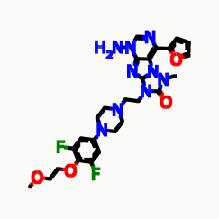 COCCOc1c(F)cc(N2CCN(CCN3C(=O)N(C)N4C5=C(c6ccco6)N=CN(N)C5=NC34)CC2)cc1F